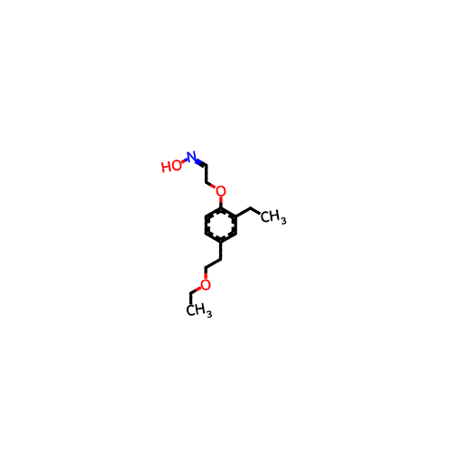 CCOCCc1ccc(OC/C=N\O)c(CC)c1